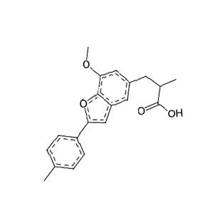 COc1cc(CC(C)C(=O)O)cc2cc(-c3ccc(C)cc3)oc12